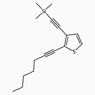 CCCCCC#Cc1sccc1C#C[Si](C)(C)C